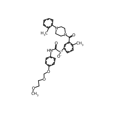 COCCOCOc1ccc(NC(=O)[S+]([O-])c2ccc(C)c(C(=O)N3CCN(c4ccccc4C)CC3)c2)cc1